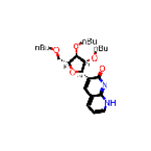 CCCCOC[C@H]1O[C@@H](c2cc3ccc[nH]c-3nc2=O)[C@@H](OCCCC)C1OCCCC